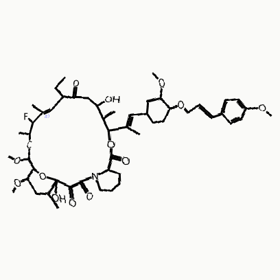 CCC1/C=C(\C)C(F)C(C)CC(OC)C2OC(O)(C(=O)C(=O)N3CCCCC3C(=O)OC(C(C)=CC3CCC(OCC=Cc4ccc(OC)cc4)C(OC)C3)C(C)C(O)CC1=O)C(C)CC2OC